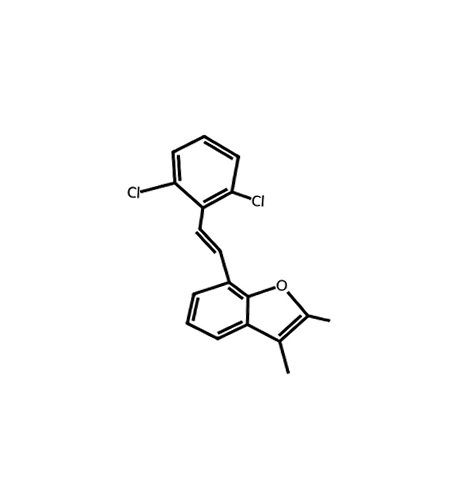 Cc1oc2c(C=Cc3c(Cl)cccc3Cl)cccc2c1C